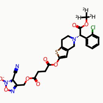 [2H]C([2H])([2H])OC(=O)[C@H](c1ccccc1Cl)N1CCc2sc(OC(=O)CCC(=O)OCc3no[n+]([O-])c3C#N)cc2C1